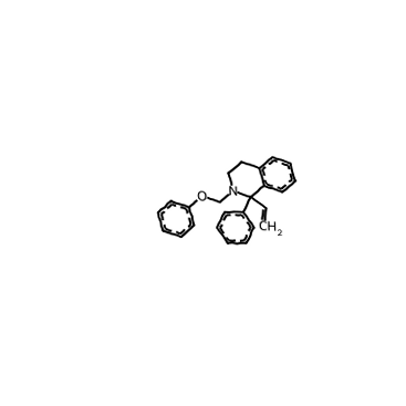 C=CC1(c2ccccc2)c2ccccc2CCN1COc1ccccc1